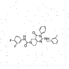 Cc1cccc(CNc2nc3c(c(=O)n2-c2ccccc2)CN(C(=O)Nc2ccc(F)c(F)c2)CC3)c1